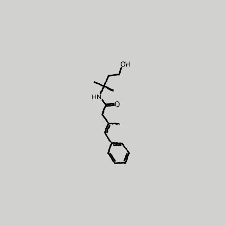 C/C(=C\c1ccccc1)CC(=O)NC(C)(C)CCO